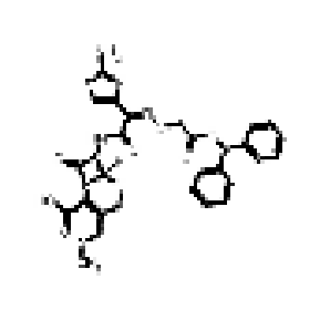 CSCC1=C(C(=O)O)N2C(=O)C(NC(=O)/C(=N\OCC(=O)OC(c3ccccc3)c3ccccc3)c3csc(N)n3)[C@H]2SC1